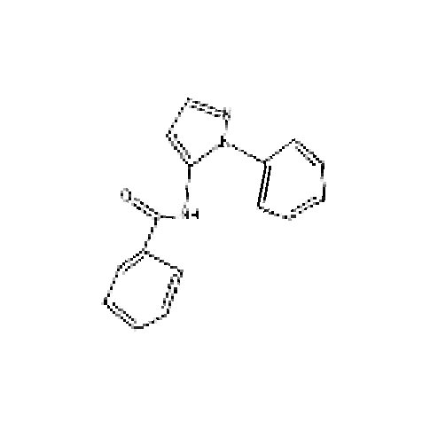 O=C(Nc1[c]cnn1-c1ccccc1)c1ccccc1